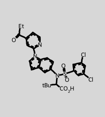 CCC(=O)c1ccnc(-n2ccc3cc(N(C(C(=O)O)C(C)(C)C)S(=O)(=O)c4cc(Cl)cc(Cl)c4)ccc32)c1